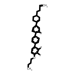 C=CCCC1CC=C(c2ccc(-c3ccc(-c4ccc(OCCCC)c(F)c4F)cc3)c(F)c2)CC1